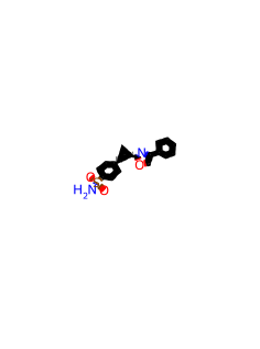 NS(=O)(=O)c1ccc([C@@H]2C[C@H]2c2nc(-c3ccccc3)co2)cc1